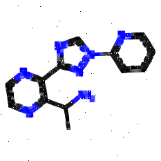 CC(N)c1nccnc1-c1ncn(-c2ccccn2)n1